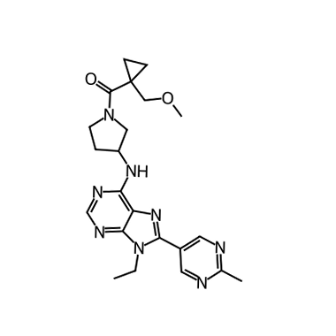 CCn1c(-c2cnc(C)nc2)nc2c(NC3CCN(C(=O)C4(COC)CC4)C3)ncnc21